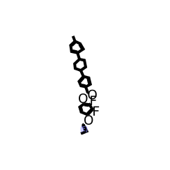 C/C=C/Oc1ccc(OC(=O)c2ccc(C3CCC(c4ccc(C)cc4)CC3)cc2)c(F)c1F